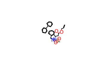 C=CCOC(=O)CC1c2ccccc2C=NN1S(C)(=O)=O.c1ccc(-c2ccccc2)cc1